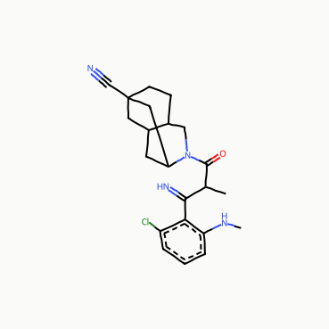 CNc1cccc(Cl)c1C(=N)C(C)C(=O)N1CC2CCC3(C#N)CC2CC1C3